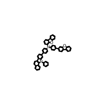 c1ccc(-n2c3cc(-c4ccc(N(c5ccc(-c6ccc7c(c6)oc6ccccc67)cc5)c5cccc6c5oc5ccccc56)cc4)ccc3c3ccc4ccccc4c32)cc1